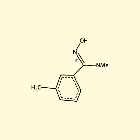 CN/C(=N\O)c1cccc(C)c1